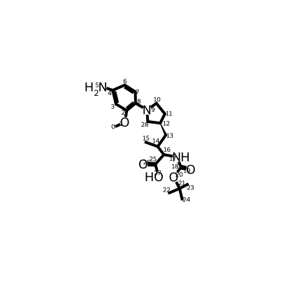 COc1cc(N)ccc1N1CC[C@@H](CC(C)C(NC(=O)OC(C)(C)C)C(=O)O)C1